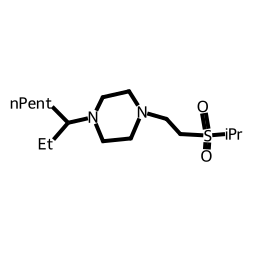 CCCCCC(CC)N1CCN(CCS(=O)(=O)C(C)C)CC1